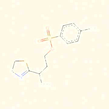 CCCCCCC(CCOS(=O)(=O)c1ccc(C)cc1)C1=NCCS1